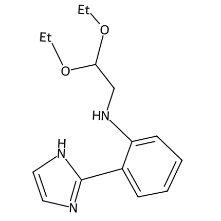 CCOC(CNc1ccccc1-c1ncc[nH]1)OCC